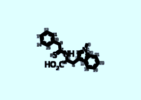 Cn1cc(C[C@H](NC(=S)Cc2ccccc2)C(=O)O)c2ccccc21